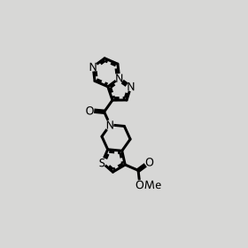 COC(=O)c1csc2c1CCN(C(=O)c1cnn3ccncc13)C2